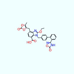 CCOc1nc2c(Cc3oc(=O)oc3C)ccc(C(=O)O)c2n1Cc1ccc(-c2ccccc2-c2noc(=O)[nH]2)cc1